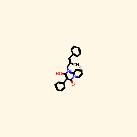 C/C(=C\c1ccccc1)C[n+]1c(O)c(-c2ccccc2)c(=O)n2ccccc21